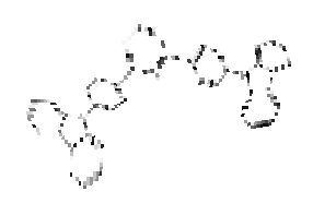 c1cc(-c2ccc(-n3c4ccccc4c4ccccc43)cc2)nc(-c2ccc(-n3c4ccccc4c4ccccc43)cc2)c1